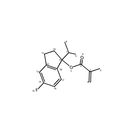 C=C(C)C(=O)OC1(C(C)C)CCc2cc(F)ccc21